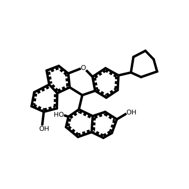 Oc1ccc2ccc(O)c(C3c4ccc(C5CCCCC5)cc4Oc4ccc5ccc(O)cc5c43)c2c1